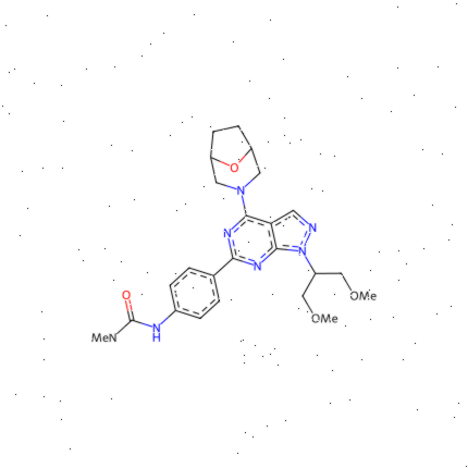 CNC(=O)Nc1ccc(-c2nc(N3CC4CCC(C3)O4)c3cnn(C(COC)COC)c3n2)cc1